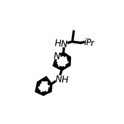 CC(C)CC(C)Nc1ccc(Nc2ccccc2)cn1